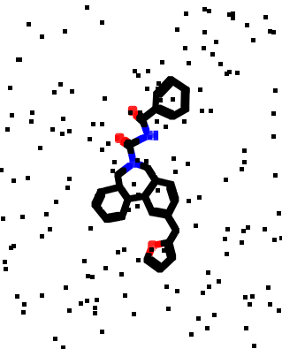 O=C(NC(=O)N1CC2C=CC=CC2C2C=C(Cc3ccco3)C=CC2C1)c1ccccc1